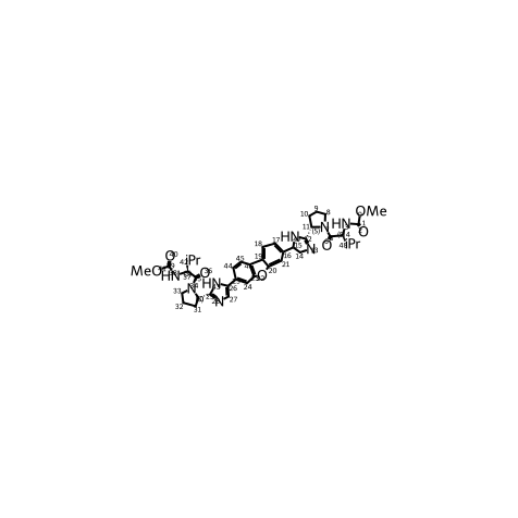 COC(=O)N[C@H](C(=O)N1CCC[C@H]1C1=NCC(c2ccc3c(c2)oc2cc(-c4cnc([C@@H]5CCCN5C(=O)[C@@H](NC(=O)OC)C(C)C)[nH]4)ccc23)N1)C(C)C